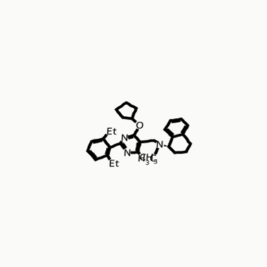 CCc1cccc(CC)c1-c1nc(C)c(CN(C)[C@H]2CCCc3ccccc32)c(OC2CCCC2)n1